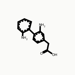 Nc1ccccc1-c1ccc(CC(=O)O)cc1N